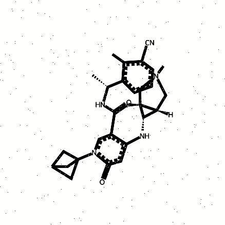 Cc1c(C#N)cccc1[C@@H](C)NC(=O)c1cn(C23CC(C2)C3)c(=O)cc1N[C@@H]1[C@@H]2CN(C)C[C@@H]21